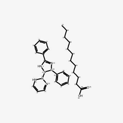 C1=CNN(N2NC(c3ccccc3)=NN2c2ccccc2)N=C1.CCCCCCCCCCCC(=O)O